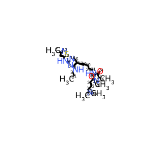 CCCNc1nc(Nc2cc(C)ns2)ncc1C#CCCCNC(=O)C(C)N(C)C(=O)/C=C/CN(C)C